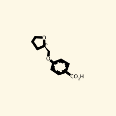 O=C(O)c1ccc(OC[C@H]2CCCO2)cc1